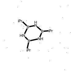 CC(C)B1NB(C(C)C)NB(C(C)C)N1